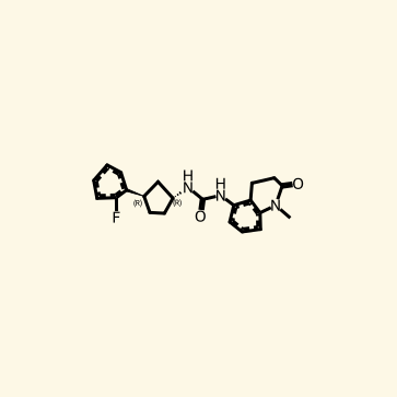 CN1C(=O)CCc2c(NC(=O)N[C@@H]3CC[C@@H](c4ccccc4F)C3)cccc21